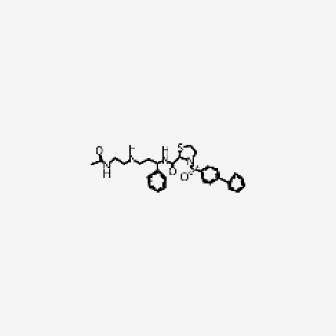 CC(=O)NCCNCCC(NC(=O)C1SCCN1[S+]([O-])c1ccc(-c2ccccc2)cc1)c1ccccc1